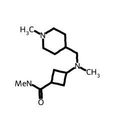 CNC(=O)C1CC(N(C)CC2CCN(C)CC2)C1